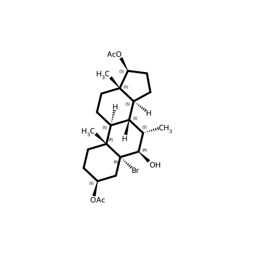 CC(=O)O[C@H]1CC[C@]2(C)[C@H]3CC[C@]4(C)[C@@H](OC(C)=O)CC[C@H]4[C@@H]3[C@H](C)[C@@H](O)[C@@]2(Br)C1